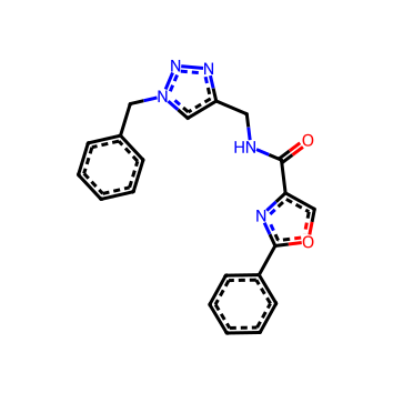 O=C(NCc1cn(Cc2ccccc2)nn1)c1coc(-c2ccccc2)n1